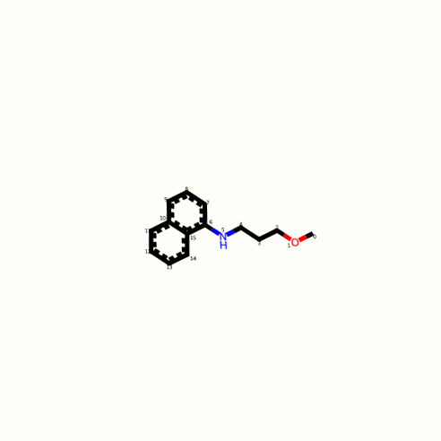 COCCCNc1cccc2ccccc12